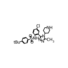 Cc1nnc(-c2cc(Cl)ccc2NS(=O)(=O)c2ccc(C(C)(C)C)cc2)n1C1CCNCC1